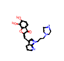 CN1CCN(CCCn2cc(C=C3Oc4c(ccc(O)c4O)C3=O)c3cccnc32)CC1